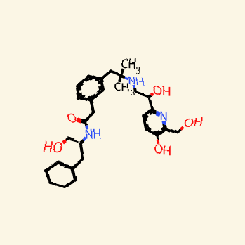 CC(C)(Cc1cccc(CC(=O)N[C@H](CO)CC2CCCCC2)c1)NCC(O)c1ccc(O)c(CO)n1